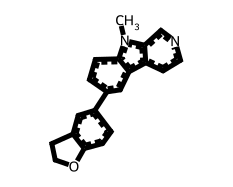 Cn1c2ccc(-c3ccc4c(c3)CCO4)cc2c2ccncc21